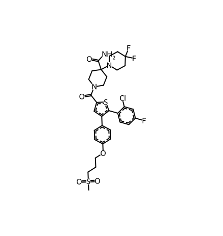 CS(=O)(=O)CCCOc1ccc(-c2cc(C(=O)N3CCC(C(N)=O)(N4CCC(F)(F)CC4)CC3)sc2-c2ccc(F)cc2Cl)cc1